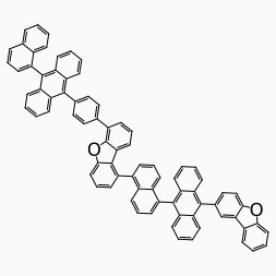 c1ccc2c(-c3c4ccccc4c(-c4ccc(-c5cccc6c5oc5cccc(-c7cccc8c(-c9c%10ccccc%10c(-c%10ccc%11oc%12ccccc%12c%11c%10)c%10ccccc9%10)cccc78)c56)cc4)c4ccccc34)cccc2c1